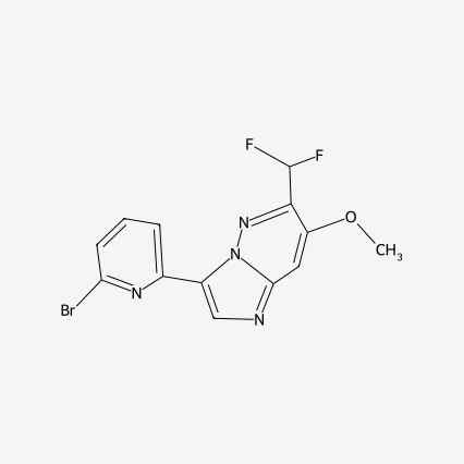 COc1cc2ncc(-c3cccc(Br)n3)n2nc1C(F)F